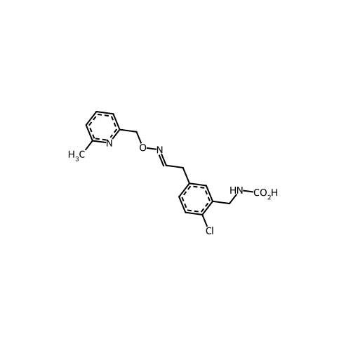 Cc1cccc(CON=CCc2ccc(Cl)c(CNC(=O)O)c2)n1